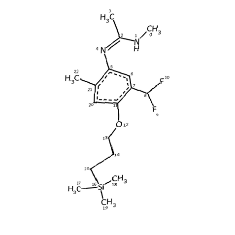 CNC(C)=Nc1cc(C(F)F)c(OCCC[Si](C)(C)C)cc1C